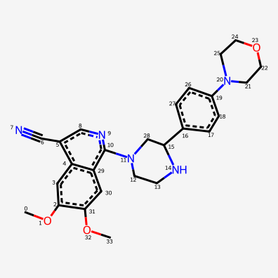 COc1cc2c(C#N)cnc(N3CCNC(c4ccc(N5CCOCC5)cc4)C3)c2cc1OC